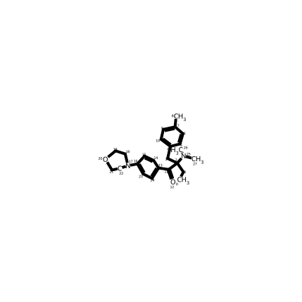 CCC(Cc1ccc(C)cc1)(C(=O)c1ccc(N2CCOCC2)cc1)N(C)C